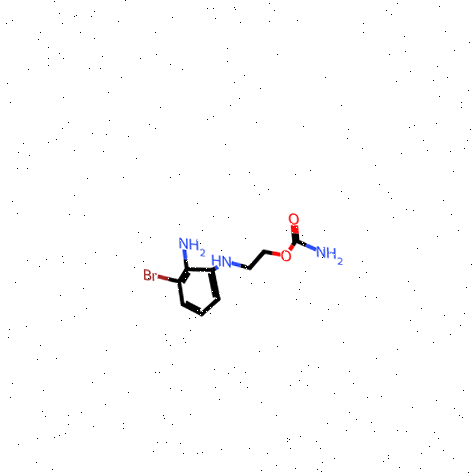 NC(=O)OCCNc1cccc(Br)c1N